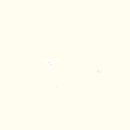 O=C1CCC(=O)N1CC=CO